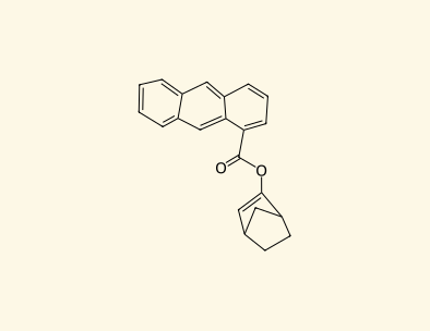 O=C(OC1=CC2CCC1C2)c1cccc2cc3ccccc3cc12